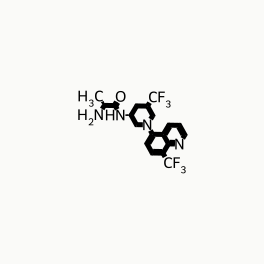 C[C@H](N)C(=O)N[C@@H]1CC(C(F)(F)F)CN(c2ccc(C(F)(F)F)c3ncccc23)C1